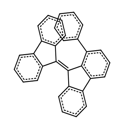 c1ccc(-c2cccc3c2C(=C2c4ccccc4-c4ccccc42)c2ccccc2-3)cc1